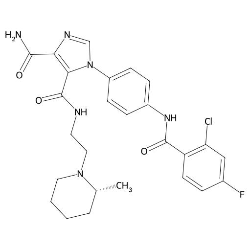 C[C@@H]1CCCCN1CCNC(=O)c1c(C(N)=O)ncn1-c1ccc(NC(=O)c2ccc(F)cc2Cl)cc1